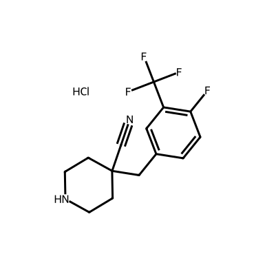 Cl.N#CC1(Cc2ccc(F)c(C(F)(F)F)c2)CCNCC1